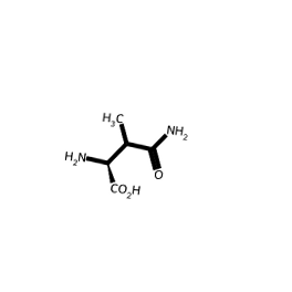 CC(C(N)=O)[C@H](N)C(=O)O